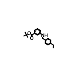 CCc1ccc(CNc2cccc(C(=O)OC(C)(C)C)c2)cc1